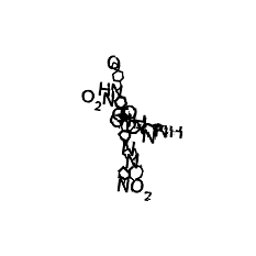 O=C(NS(=O)(=O)c1ccc(NCC2CCC3(CC2)COC3)c([N+](=O)[O-])c1)c1ccc(N2CCN([C@@H]3CCCCc4c3cccc4[N+](=O)[O-])CC2)cc1Oc1cnc2[nH]ccc2c1